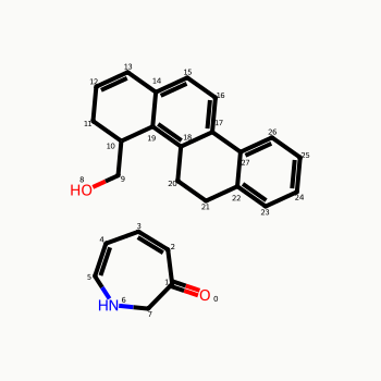 O=C1C=CC=CNC1.OCC1CC=Cc2ccc3c(c21)CCc1ccccc1-3